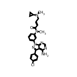 CN(C(=O)/C=C/CN(C)C1CC1)c1cccc(-n2nc(-c3ccc(Cl)cc3)c3c(N)ncnc32)c1